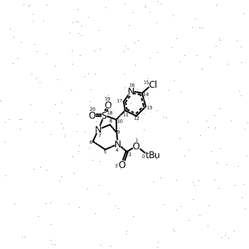 CC(C)(C)OC(=O)N1CCN2CC1C(c1ccc(Cl)nc1)S2(=O)=O